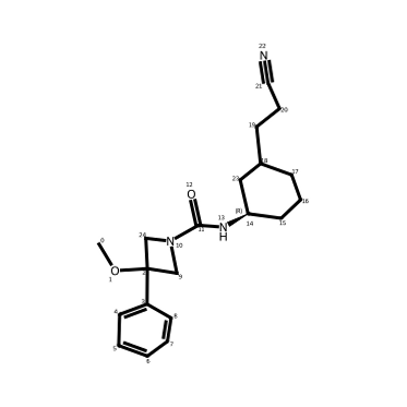 COC1(c2ccccc2)CN(C(=O)N[C@@H]2CCCC(CCC#N)C2)C1